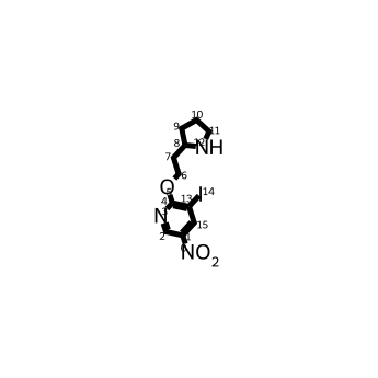 O=[N+]([O-])c1cnc(OCCC2CCCN2)c(I)c1